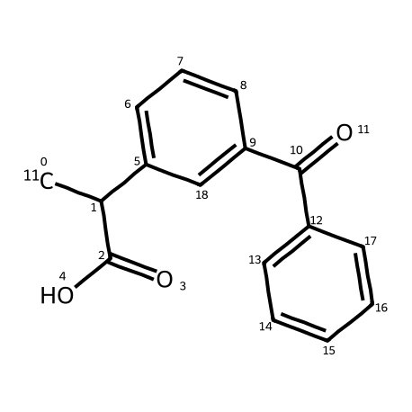 [11CH3]C(C(=O)O)c1cccc(C(=O)c2ccccc2)c1